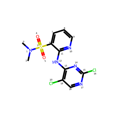 CN(C)S(=O)(=O)c1cccnc1Nc1nc(Cl)ncc1Cl